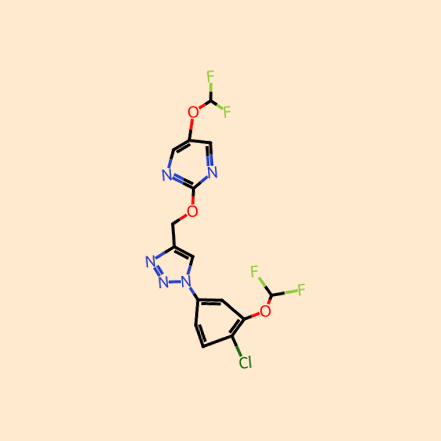 FC(F)Oc1cnc(OCc2cn(-c3ccc(Cl)c(OC(F)F)c3)nn2)nc1